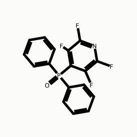 O=P(c1ccccc1)(c1ccccc1)c1c(F)c(F)nc(F)c1F